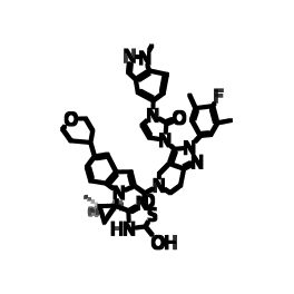 Cc1cc(-n2nc3c(c2-n2ccn(-c4ccc5c(cnn5C)c4)c2=O)CN(C(=O)c2cc4cc(C5CCOCC5)ccc4n2[C@@]2(C4=NSC(O)N4)C[C@@H]2C)CC3)cc(C)c1F